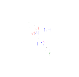 CC(=O)[N+]1(S(=O)(=O)c2ccc(F)cc2)c2ccc(C(=O)NC(C)(C)c3ccc(F)cc3)cc2C2(CCNCC2)C1C1CC1